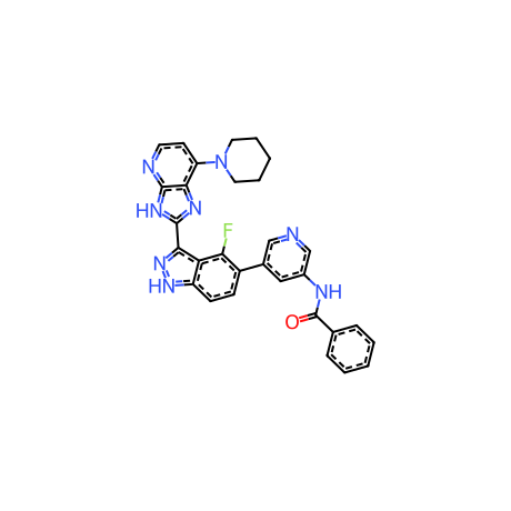 O=C(Nc1cncc(-c2ccc3[nH]nc(-c4nc5c(N6CCCCC6)ccnc5[nH]4)c3c2F)c1)c1ccccc1